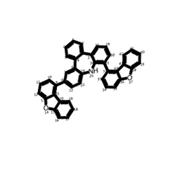 c1ccc2c(c1)-c1cc(-c3cccc4oc5ccccc5c34)ccc1Nc1c-2cccc1-c1cccc2oc3ccccc3c12